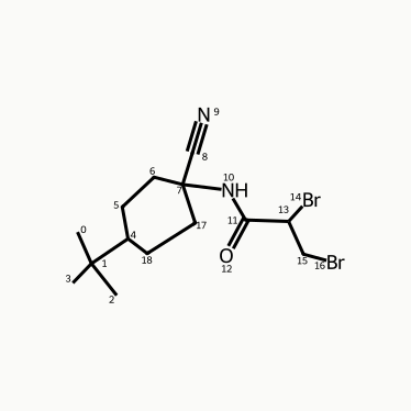 CC(C)(C)C1CCC(C#N)(NC(=O)C(Br)CBr)CC1